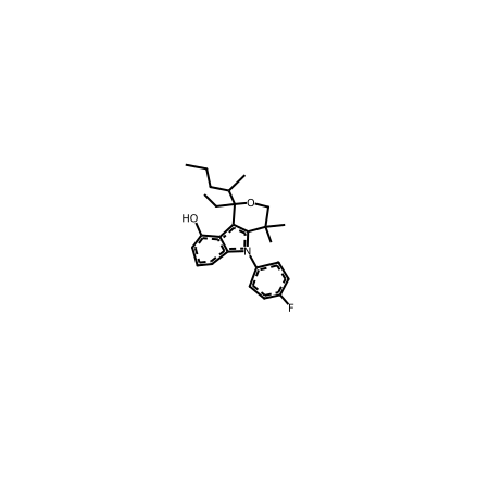 CCCC(C)C1(CC)OCC(C)(C)c2c1c1c(O)cccc1n2-c1ccc(F)cc1